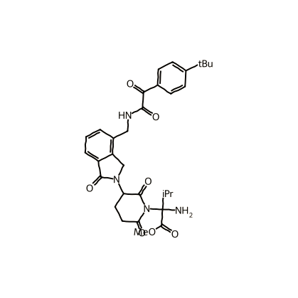 COC(=O)C(N)(C(C)C)N1C(=O)CCC(N2Cc3c(CNC(=O)C(=O)c4ccc(C(C)(C)C)cc4)cccc3C2=O)C1=O